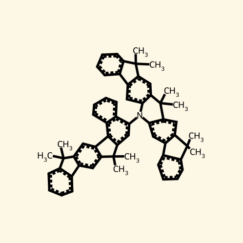 CC1(C)c2ccccc2-c2cc3c(cc21)-c1c(cc(N2c4cc5c(cc4C(C)(C)c4cc6c(cc42)-c2ccccc2C6(C)C)C(C)(C)c2ccccc2-5)c2ccccc12)C3(C)C